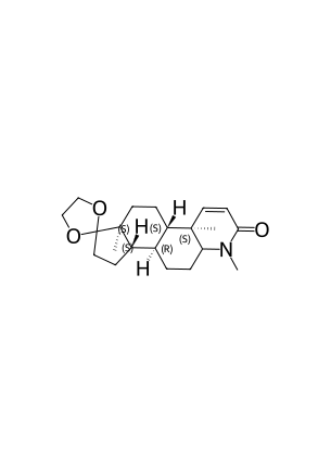 CN1C(=O)C=C[C@@]2(C)C1CC[C@@H]1[C@@H]2CC[C@@]2(C)[C@H]1CCC21OCCO1